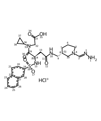 Cl.NN=CN1CCC[C@@H](CNC(=O)C[C@@H](NS(=O)(=O)c2ccc3ccccc3c2)C(=O)N(CC(=O)O)C2CC2)C1